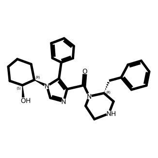 O=C(c1ncn([C@@H]2CCCC[C@@H]2O)c1-c1ccccc1)N1CCNC[C@H]1Cc1ccccc1